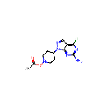 CC(C)(C)C(=O)ON1CCC(n2ncc3c(Cl)nc(N)nc32)CC1